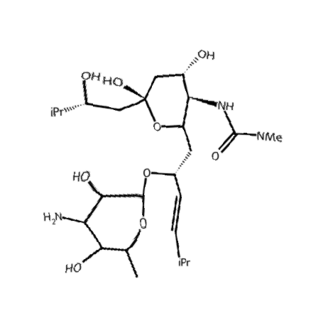 CNC(=O)N[C@H]1C(C[C@H](/C=C/C(C)C)OC2OC(C)C(O)C(N)C2O)O[C@](O)(C[C@@H](O)C(C)C)C[C@@H]1O